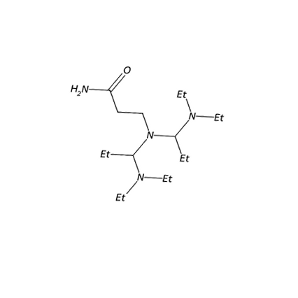 CCC(N(CC)CC)N(CCC(N)=O)C(CC)N(CC)CC